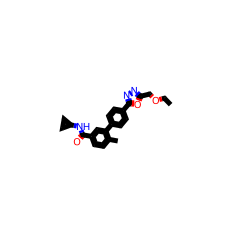 CCOCc1nnc(-c2ccc(-c3cc(C(=O)NC4CC4)ccc3C)cc2)o1